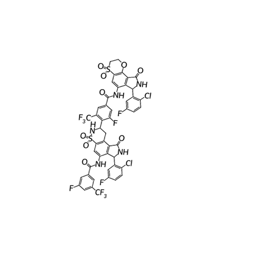 O=C(Nc1cc2c(c3c1C(c1cc(F)ccc1Cl)NC3=O)CC(c1c(F)cc(C(=O)Nc3cc4c(c5c3C(c3cc(F)ccc3Cl)NC5=O)OCCS4(=O)=O)cc1C(F)(F)F)NS2(=O)=O)c1cc(F)cc(C(F)(F)F)c1